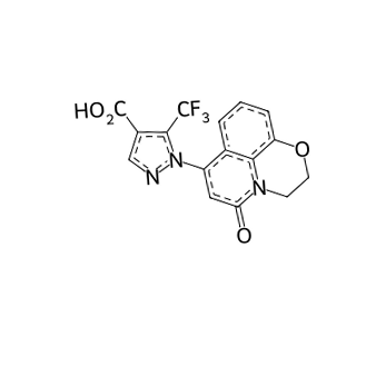 O=C(O)c1cnn(-c2cc(=O)n3c4c(cccc24)OCC3)c1C(F)(F)F